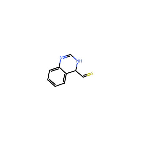 S=CC1NC=Nc2ccccc21